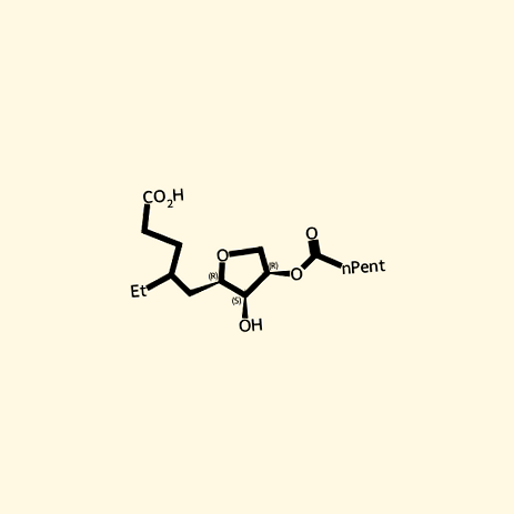 CCCCCC(=O)O[C@@H]1CO[C@H](CC(CC)CCC(=O)O)[C@@H]1O